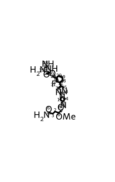 COC(CCC(N)=O)CON=C1CN(c2ncc(-c3cccc(COC(=O)NC(=N)N)c3F)cn2)C1